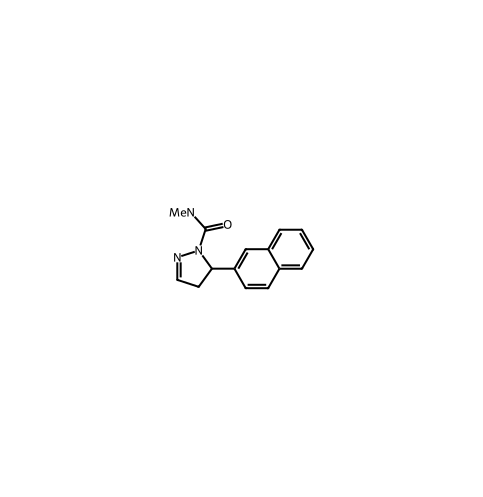 CNC(=O)N1N=CCC1c1ccc2ccccc2c1